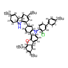 CC(C)(C)c1ccc(-c2ccc(-n3c4cc(-c5cc(C(C)(C)C)cc6c5[nH]c5ccc(C(C)(C)C)cc56)ccc4c4c5oc6c(C(C)(C)C)cc(C(C)(C)C)cc6c5ccc43)c(Cl)c2)cc1